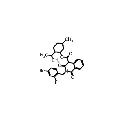 CC1CCC(C(C)C)C(OC(=O)C2C(=O)N(Cc3ccc(Br)cc3F)C(=O)c3ccccc32)C1